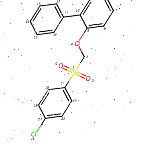 O=S(=O)(COc1ccccc1-c1ccccc1)c1ccc(Cl)cc1